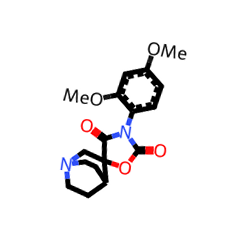 COc1ccc(N2C(=O)OC3(CN4CCC3CC4)C2=O)c(OC)c1